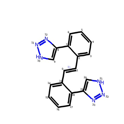 C(=C\c1ccccc1-c1c[nH]nn1)/c1ccccc1-c1c[nH]nn1